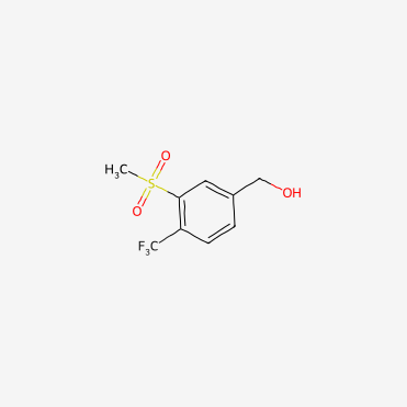 CS(=O)(=O)c1cc(CO)ccc1C(F)(F)F